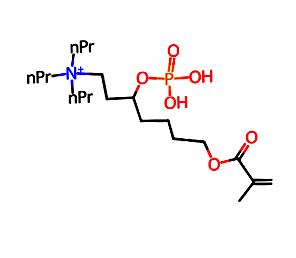 C=C(C)C(=O)OCCCCC(CC[N+](CCC)(CCC)CCC)OP(=O)(O)O